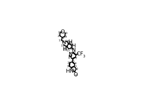 O=C1Cc2cc(-c3cc(C(F)(F)F)c(NC4C[C@@H]5CN(CC6CCOCC6)C[C@@H]5C4)nn3)ccc2N1